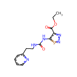 CCOC(=O)c1nnsc1NC(=O)NCCc1ccccn1